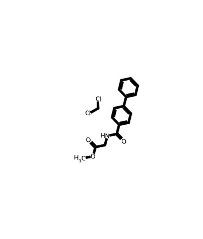 COC(=O)CNC(=O)c1ccc(-c2ccccc2)cc1.ClCCl